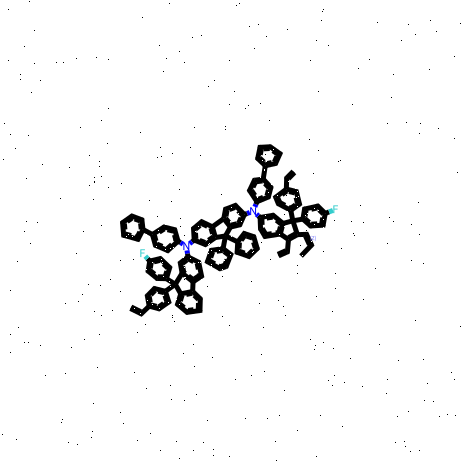 C=CC1=C(/C=C\C)C(c2ccc(F)cc2)(c2ccc(C=C)cc2)c2cc(N(c3ccc(-c4ccccc4)cc3)c3ccc4c(c3)C(c3ccccc3)(c3ccccc3)c3cc(N(c5ccc(-c6ccccc6)cc5)c5ccc6c(c5)C(c5ccc(F)cc5)(c5ccc(C=C)cc5)c5ccccc5-6)ccc3-4)ccc21